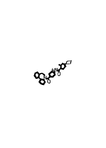 Cc1cc(Cl)ccc1C(=O)Nc1ccc(C(=O)N2CCc3ccccc3-c3ccccc32)cc1